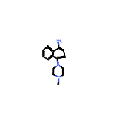 CN1CCN(c2ccc(N)c3ccccc23)CC1